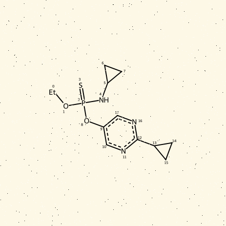 CCOP(=S)(NC1CC1)Oc1cnc(C2CC2)nc1